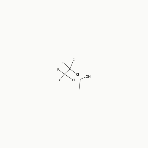 CCO.FC(F)(Cl)C(Cl)(Cl)Cl